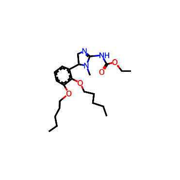 CCCCCOc1cccc(C2CN=C(NC(=O)OCC)N2C)c1OCCCCC